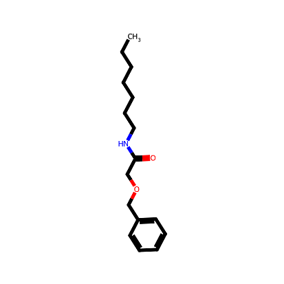 CCCCCCCNC(=O)COCc1ccccc1